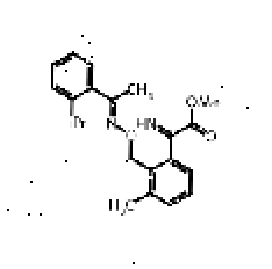 COC(=O)C(=N)c1cccc(C)c1CO/N=C(\C)c1ccccc1C(C)C